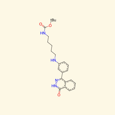 CC(C)(C)OC(=O)NCCCCCNc1cccc(-c2n[nH]c(=O)c3ccccc23)c1